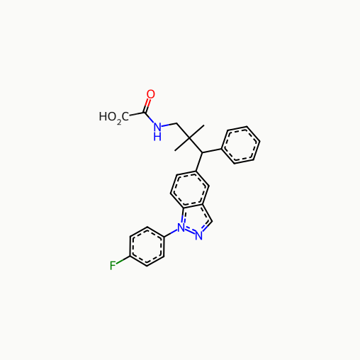 CC(C)(CNC(=O)C(=O)O)C(c1ccccc1)c1ccc2c(cnn2-c2ccc(F)cc2)c1